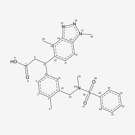 Cc1ccc(C(CC(=O)O)c2ccc3c(nnn3C)c2C)cc1CN(C)S(=O)(=O)c1ccccc1